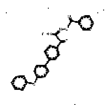 CCCCCCC(=NOC(=O)c1ccccc1)C(=O)c1ccc(-c2ccc(Sc3ccccc3)cc2)cc1